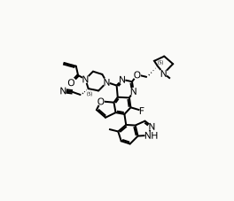 C=CC(=O)N1CCN(c2nc(OC[C@@H]3CCCN3C)nc3c(F)c(-c4c(C)ccc5[nH]ncc45)c4ccoc4c23)C[C@@H]1CC#N